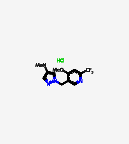 CNc1cnn(Cc2cnc(C(F)(F)F)cc2OC)c1.Cl